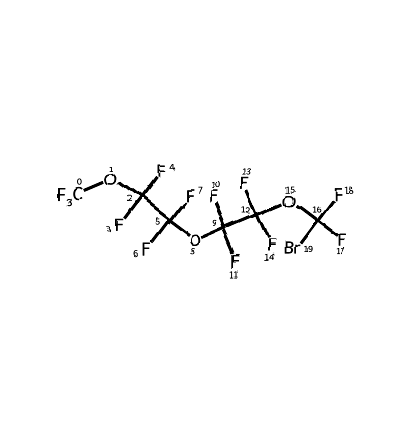 FC(F)(F)OC(F)(F)C(F)(F)OC(F)(F)C(F)(F)OC(F)(F)Br